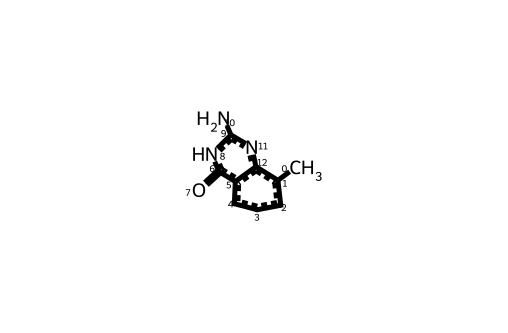 Cc1cccc2c(=O)[nH]c(N)nc12